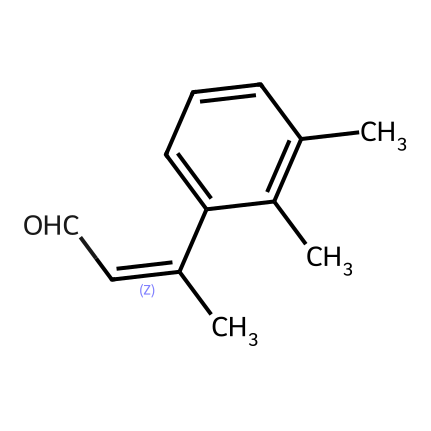 C/C(=C/C=O)c1cccc(C)c1C